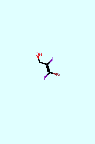 OCC(I)=C(Br)I